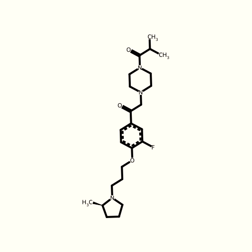 CC(C)C(=O)N1CCN(CC(=O)c2ccc(OCCCN3CCC[C@H]3C)c(F)c2)CC1